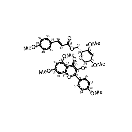 COC1=CC(OC)[C@H](Oc2c(-c3ccc(OC)cc3)oc3cc(OC)cc(OC)c3c2=O)O[C@@H]1COC(=O)/C=C/c1ccc(OC)cc1